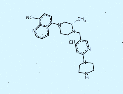 C[C@@H]1CN(c2ccc(C#N)c3ncccc23)C[C@H](C)N1Cc1ccc(N2CCNCC2)nc1